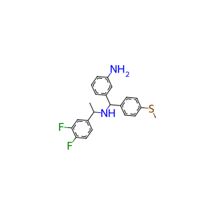 CSc1ccc(C(NC(C)c2ccc(F)c(F)c2)c2cccc(N)c2)cc1